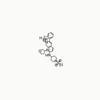 CCS(=O)(=O)N1CCC(Nc2ccc3c([n+]2C2CCOC2)C[NH+]([O-])C(c2ccccc2C)=C3)CC1